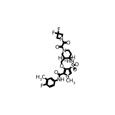 Cc1cc(NC(=O)c2c3c(cn2C)S(=O)(=O)N[C@H]2CCN(C(=O)C(=O)N4CC(F)(F)C4)C[C@@H]2CO3)ccc1F